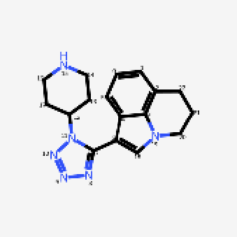 c1cc2c3c(c1)c(-c1nnnn1C1CCNCC1)cn3CCC2